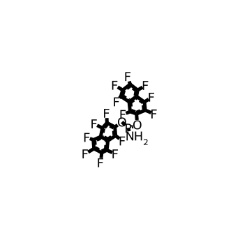 NP(Oc1c(F)c(F)c2c(F)c(F)c(F)c(F)c2c1F)Oc1c(F)c(F)c2c(F)c(F)c(F)c(F)c2c1F